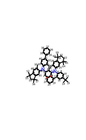 Cc1cc2c3c(c1)N(c1ccc(C(C)(C)C)cc1-c1ccccc1)c1cc4c(cc1B3c1cc(-c3ccccc3)ccc1N2c1cc2c(cc1C)C(C)(C)CC2(C)C)C(C)(C)CCC4(C)C